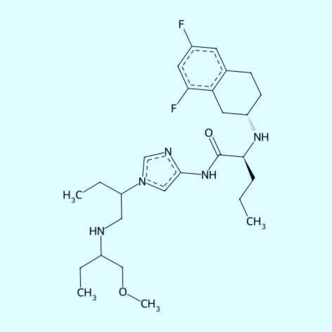 CCC[C@H](N[C@H]1CCc2cc(F)cc(F)c2C1)C(=O)Nc1cn(C(CC)CNC(CC)COC)cn1